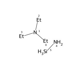 CCN(CC)CC.N[SiH3]